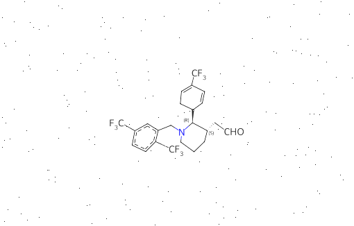 O=CC[C@@H]1CCCN(Cc2cc(C(F)(F)F)ccc2C(F)(F)F)[C@H]1C1C=CC(C(F)(F)F)=CC1